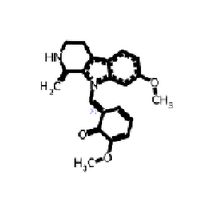 C=C1NCCc2c1n(/C=C1\C=CC=C(OC)C1=O)c1cc(OC)ccc21